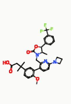 COc1ccc(C(C)(C)CC(=O)O)cc1-c1ccc(N2CCC2)nc1CN1C(=O)OC(c2cccc(C(F)(F)F)c2)C1C